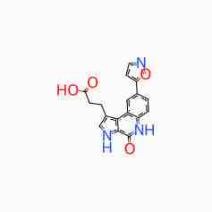 O=C(O)CCc1c[nH]c2c(=O)[nH]c3ccc(-c4ccno4)cc3c12